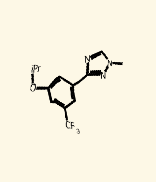 CC(C)Oc1cc(-c2ncn(C)n2)cc(C(F)(F)F)c1